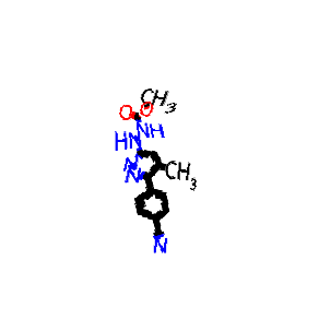 COC(=O)NNc1cc(C)c(-c2ccc(C#N)cc2)nn1